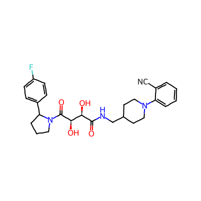 N#Cc1ccccc1N1CCC(CNC(=O)[C@H](O)[C@@H](O)C(=O)N2CCCC2c2ccc(F)cc2)CC1